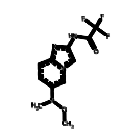 CON(C)c1ccc2nc(NC(=O)C(F)(F)F)cn2c1